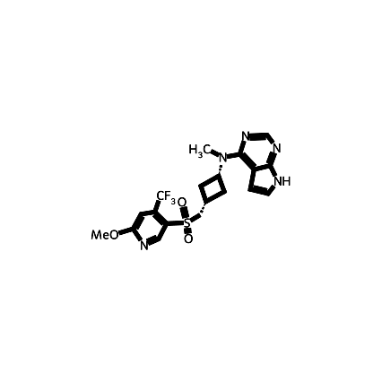 COc1cc(C(F)(F)F)c(S(=O)(=O)C[C@H]2C[C@@H](N(C)c3ncnc4[nH]ccc34)C2)cn1